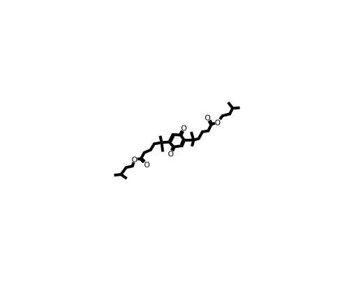 CC(C)CCOC(=O)CCCC(C)(C)C1=CC(=O)C(C(C)(C)CCCC(=O)OCCC(C)C)=CC1=O